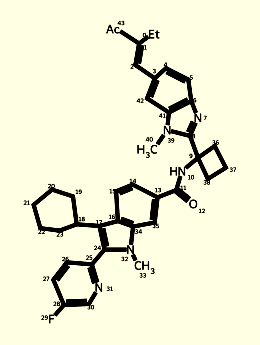 CC/C(=C\c1ccc2nc(C3(NC(=O)c4ccc5c(C6CCCCC6)c(-c6ccc(F)cn6)n(C)c5c4)CCC3)n(C)c2c1)C(C)=O